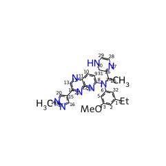 CCc1cc(OC)cc(N(c2ccc3ncc(-c4cnn(C)c4)nc3n2)C(C)C2=NC=CNC2)c1